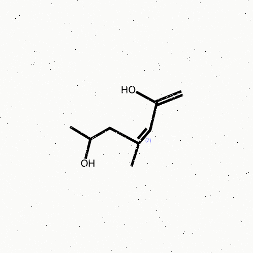 C=C(O)/C=C(/C)CC(C)O